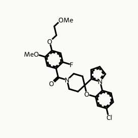 COCCOc1cc(F)c(C(=O)N2CCC3(CC2)Oc2cc(Cl)ccc2-n2cccc23)cc1OC